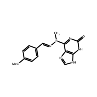 COc1ccc(C=NN(C)c2nc(=S)[nH]c3[nH]cnc23)cc1